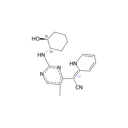 Cc1cnc(N[C@H]2CCCC[C@@H]2O)nc1/C(C#N)=C1/C=CC=CN1